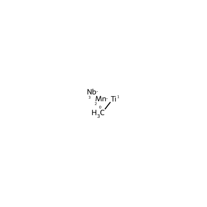 [CH3][Ti].[Mn].[Nb]